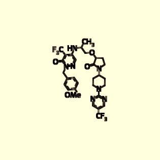 COc1ccc(Cn2ncc(NC(C)COC3CCN(C4CCN(c5ncc(C(F)(F)F)cn5)CC4)C3=O)c(C(F)(F)F)c2=O)cc1